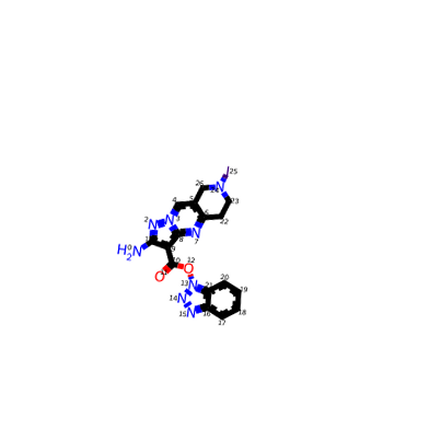 Nc1nn2cc3c(nc2c1C(=O)On1nnc2ccccc21)CCN(I)C3